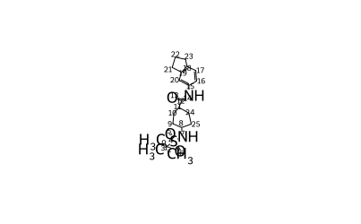 CC(C)(C)S(=O)(=O)NC1CCC(C(=O)Nc2ccc3c(c2)CCC3)CC1